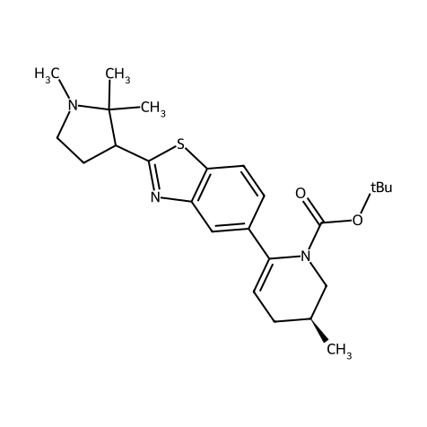 C[C@H]1CC=C(c2ccc3sc(C4CCN(C)C4(C)C)nc3c2)N(C(=O)OC(C)(C)C)C1